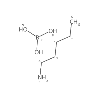 CCCCCN.OB(O)O